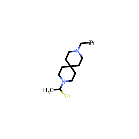 CC(C)CN1CCC2(CC1)CCN(C(C)S)CC2